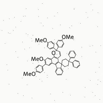 COc1ccc(-c2cc3c4c(c5c(c3cc2OC)OC(c2ccc(OC)cc2)(c2ccc(OC)cc2)C=C5)C2(CCC(c3ccccc3)(c3ccccc3)CC2)c2ccccc2-4)cc1